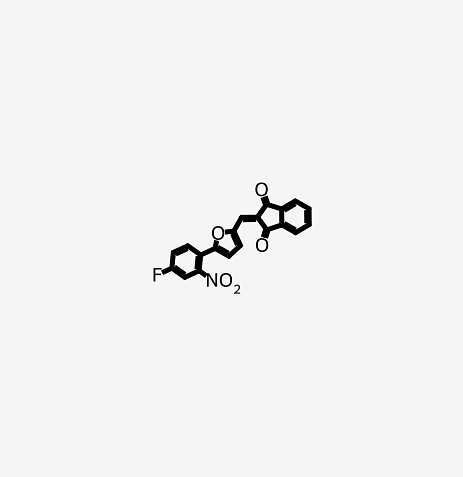 O=C1C(=Cc2ccc(-c3ccc(F)cc3[N+](=O)[O-])o2)C(=O)c2ccccc21